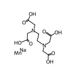 O=C(O)CN(CCN(CC(=O)O)CC(=O)O)CC(=O)O.[Mn].[Na]